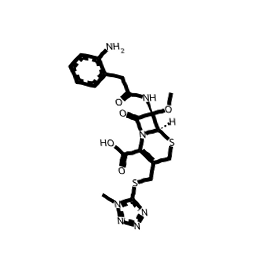 CO[C@@]1(NC(=O)Cc2ccccc2N)C(=O)N2C(C(=O)O)=C(CSc3nnnn3C)CS[C@@H]21